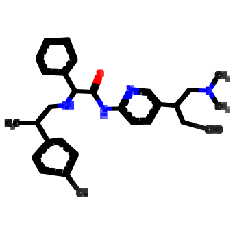 CC(CNC(C(=O)Nc1ccc(C(CC=O)CN(C)C)cn1)c1ccccc1)c1ccc(C#N)cc1